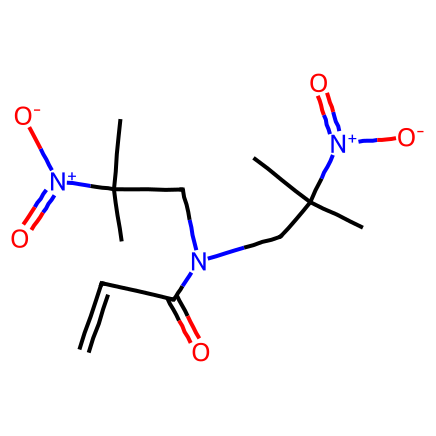 C=CC(=O)N(CC(C)(C)[N+](=O)[O-])CC(C)(C)[N+](=O)[O-]